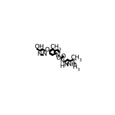 Cc1c(Oc2cc(CO)ncn2)ccc2c1ccn2OC(=O)Nc1cc(C(C)C)[nH]n1